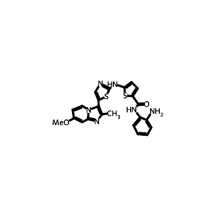 COc1ccn2c(-c3cnc(Nc4ccc(C(=O)Nc5ccccc5N)s4)s3)c(C)nc2c1